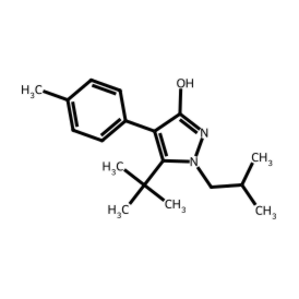 Cc1ccc(-c2c(O)nn(CC(C)C)c2C(C)(C)C)cc1